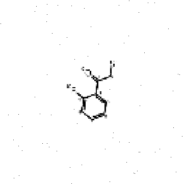 O=C(C[S])c1ccccc1F